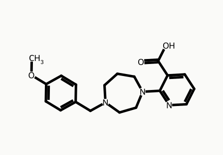 COc1ccc(CN2CCCN(c3ncccc3C(=O)O)CC2)cc1